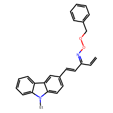 C=CC(C=Cc1ccc2c(c1)c1ccccc1n2CC)=NOOCc1ccccc1